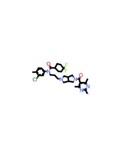 [CH2]c1nc(C)c(C(=O)N2CC3CN(CCCN(C(=O)C4CCC(F)(F)CC4)c4ccc(C)c(Cl)c4)CC3C2)c(C)n1